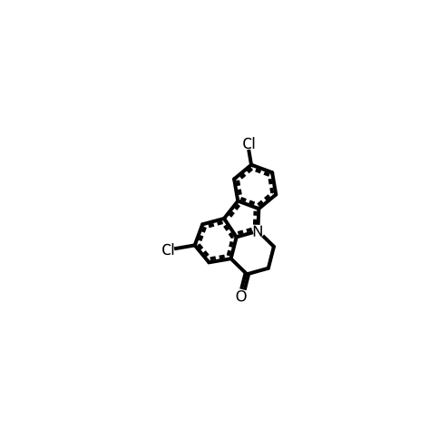 O=C1CCn2c3ccc(Cl)cc3c3cc(Cl)cc1c32